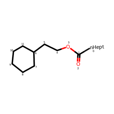 [CH2]CCCCCCC(=O)OCCC1CCCCC1